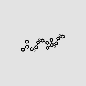 c1ccc(-c2cc(-c3ccccc3)cc(-c3ccc4sc5ccc(-c6ccc7oc8ccc(-c9ccc(-c%10c(-c%11ccccc%11)cc%11sc%12ccc(-c%13ccc%14oc%15ccccc%15c%14c%13)cc%12c%11c%10-c%10ccccc%10)cc9)cc8c7c6)cc5c4c3)c2)cc1